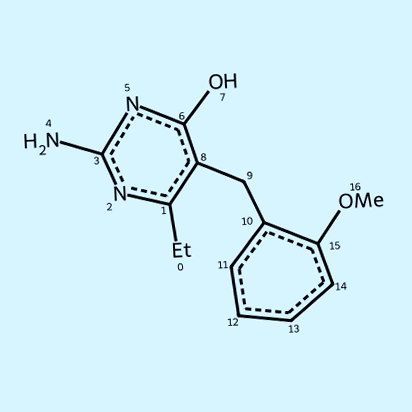 CCc1nc(N)nc(O)c1Cc1ccccc1OC